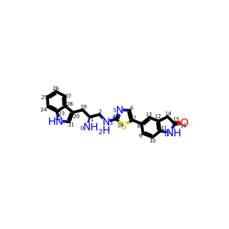 N[C@H](CNc1ncc(-c2ccc3c(c2)CC(=O)N3)s1)Cc1c[nH]c2ccccc12